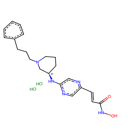 Cl.Cl.O=C(C=Cc1cnc(N[C@@H]2CCCN(CCCc3ccccc3)C2)cn1)NO